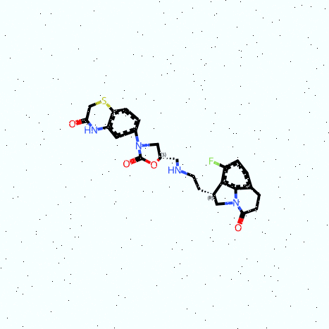 O=C1CSc2ccc(N3C[C@H](CNCC[C@H]4CN5C(=O)CCc6ccc(F)c4c65)OC3=O)cc2N1